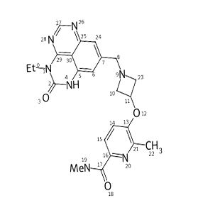 CCN1C(=O)Nc2cc(CN3CC(Oc4ccc(C(=O)NC)nc4C)C3)cc3ncnc1c23